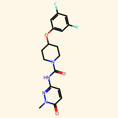 Cn1nc(NC(=O)N2CCC(Oc3cc(F)cc(F)c3)CC2)ccc1=O